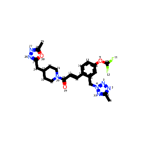 Cc1nnn(Cc2cc(OC(F)F)ccc2C=CC(=O)N2CCC(Cc3nnc(C)o3)CC2)n1